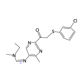 CCN(C)/C=N\c1cnc(C(=O)CSc2cccc(Cl)c2)nc1C